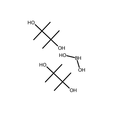 CC(C)(O)C(C)(C)O.CC(C)(O)C(C)(C)O.OBO